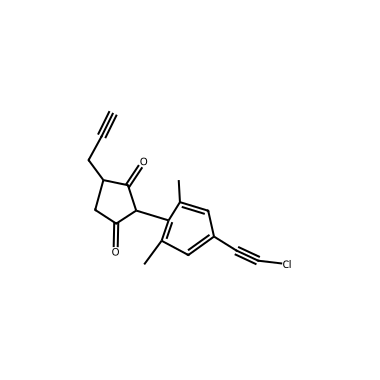 C#CCC1CC(=O)C(c2c(C)cc(C#CCl)cc2C)C1=O